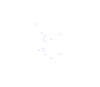 COc1cccc(F)c1C1=CNC(c2cc(C)cc(N3CC[C@H](N)C3)n2)C1